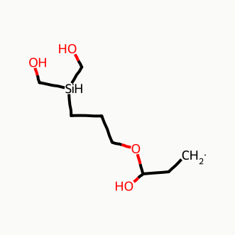 [CH2]CC(O)OCCC[SiH](CO)CO